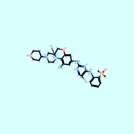 CP(C)(=O)c1ccccc1Nc1nc(Nc2cc(Cl)c3c(c2)OC[C@H]2CN(C4CCOCC4)CCN32)ncc1Cl